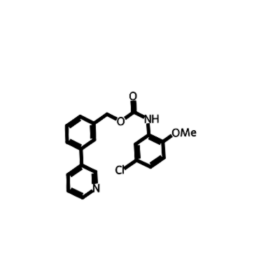 COc1ccc(Cl)cc1NC(=O)OCc1cccc(-c2cccnc2)c1